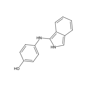 Oc1ccc(Nc2[nH]cc3ccccc23)cc1